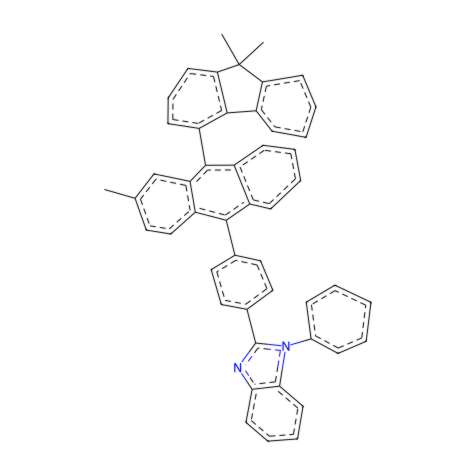 Cc1ccc2c(-c3ccc(-c4nc5ccccc5n4-c4ccccc4)cc3)c3ccccc3c(-c3cccc4c3-c3ccccc3C4(C)C)c2c1